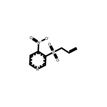 C=CCS(=O)(=O)c1cnccc1[N+](=O)[O-]